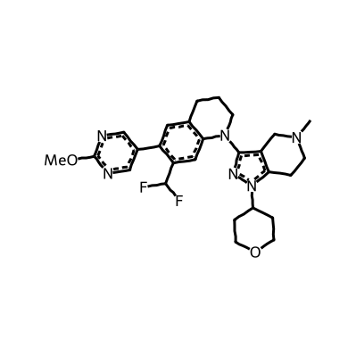 COc1ncc(-c2cc3c(cc2C(F)F)N(c2nn(C4CCOCC4)c4c2CN(C)CC4)CCC3)cn1